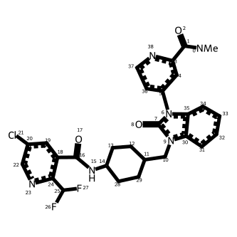 CNC(=O)c1cc(-n2c(=O)n(CC3CCC(NC(=O)c4cc(Cl)cnc4C(F)F)CC3)c3ccccc32)ccn1